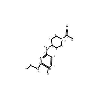 CCOc1nc(OC2CCN(C(C)=O)CC2)ccc1C